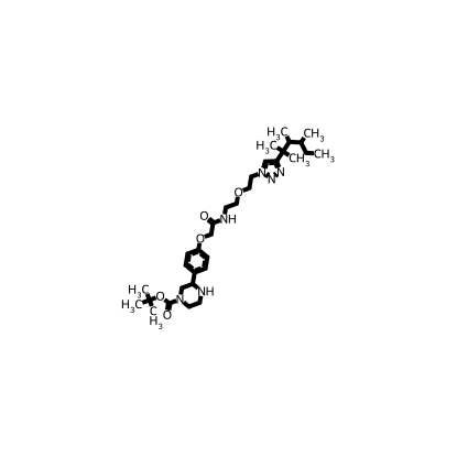 CCC(C)C(C)C(C)(C)c1cn(CCOCCNC(=O)COc2ccc(C3CN(C(=O)OC(C)(C)C)CCN3)cc2)nn1